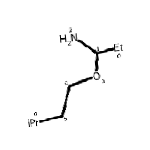 CCC(N)OCCC(C)C